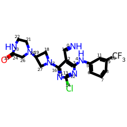 N=Cc1c(Nc2cccc(C(F)(F)F)c2)nc(Cl)nc1N1CC(N2CCNC(=O)C2)C1